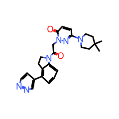 CC1(C)CCN(c2ccc(=O)n(CC(=O)N3CCc4c(-c5ccnnc5)cccc43)n2)CC1